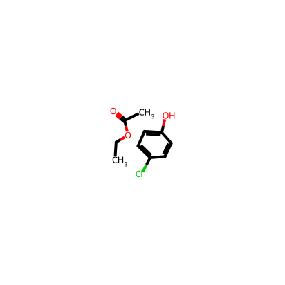 CCOC(C)=O.Oc1ccc(Cl)cc1